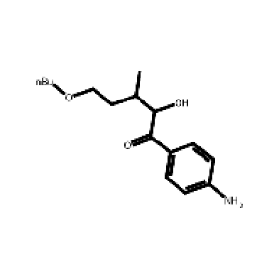 [CH2]CCCOCCC(C)C(O)C(=O)c1ccc(N)cc1